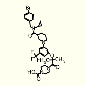 CC(C)(Oc1cc(N2CCCC(C(=O)N(Cc3ccc(Br)cc3)C3CC3)C2)cc(C(F)(F)F)c1)C(=O)N1CCN(C(=O)O)CC1